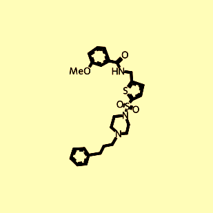 COc1cccc(C(=O)NCc2ccc(S(=O)(=O)N3CCN(CCCc4ccccc4)CC3)s2)c1